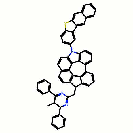 CC1C(c2ccccc2)=NC(CC2c3cccc4c3-c3c2ccc2ccc5c(c32)c2c-4cccc2n5-c2ccc3sc4cc5ccccc5cc4c3c2)=NC1c1ccccc1